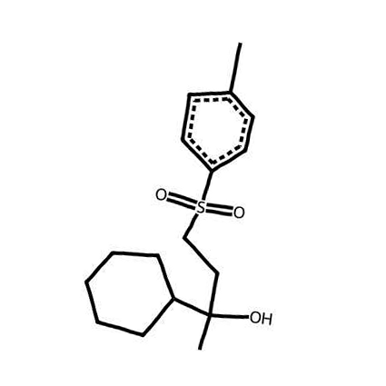 Cc1ccc(S(=O)(=O)CCC(C)(O)C2CCCCC2)cc1